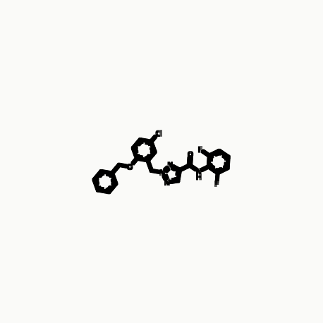 O=C(Nc1c(F)cccc1F)c1cnn(Cc2cc(Cl)ccc2OCc2ccccc2)n1